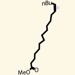 CCCC/C=C\CCCCCCCCCCCC(=O)OC